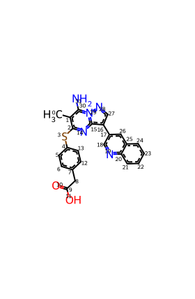 Cc1c(Sc2ccc(CC(=O)O)cc2)nc2c(-c3cnc4ccccc4c3)cnn2c1N